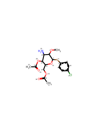 COC1C(Sc2ccc(Cl)cc2)OC(COC(C)=O)C(OC(C)=O)C1N